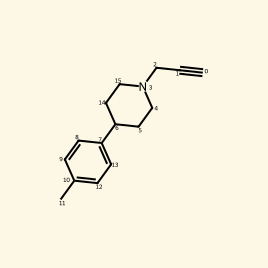 C#CCN1CCC(c2ccc(C)cc2)CC1